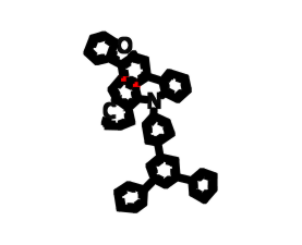 c1ccc(-c2cc(-c3ccccc3)cc(-c3ccc(N(c4ccccc4-c4ccc5c(c4)oc4ccccc45)c4cccc5ccccc45)cc3)c2)cc1